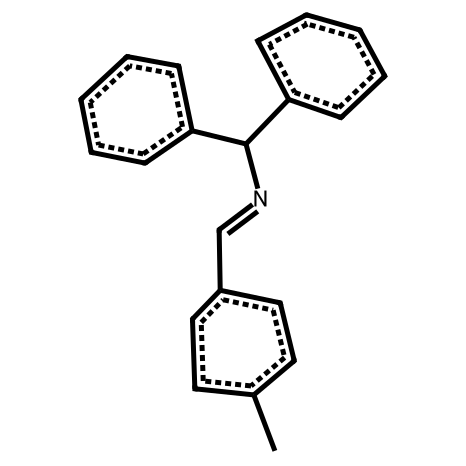 Cc1ccc(/C=N/C(c2ccccc2)c2ccccc2)cc1